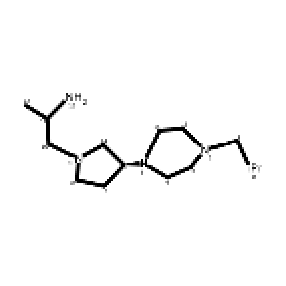 CC(C)CN1CCN([C@H]2CCN(CC(C)N)C2)CC1